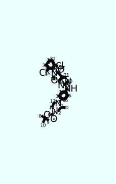 CC1CN(C(=O)OC(C)(C)C)CCN1c1ccc(Nc2ncc3c(n2)OCN(c2c(Cl)cccc2Cl)C3=O)cc1